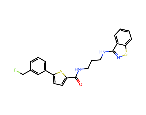 O=C(NCCCNc1nsc2ccccc12)c1ccc(-c2cccc(CF)c2)s1